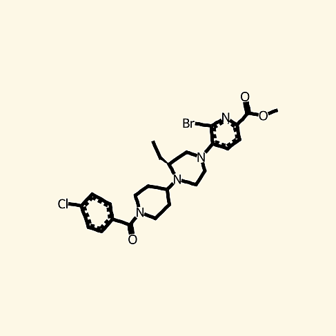 CC[C@H]1CN(c2ccc(C(=O)OC)nc2Br)CCN1C1CCN(C(=O)c2ccc(Cl)cc2)CC1